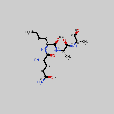 CCCC[C@H](NC(=O)[C@@H](N)CCC(N)=O)C(=O)N[C@@H](C)C(=O)N[C@@H](C)[C]=O